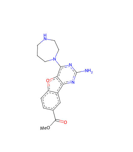 COC(=O)c1ccc2oc3c(N4CCCNCC4)nc(N)nc3c2c1